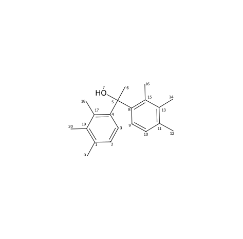 Cc1ccc(C(C)(O)c2ccc(C)c(C)c2C)c(C)c1C